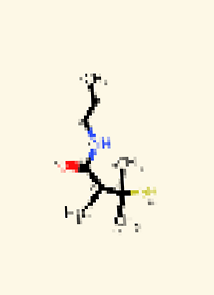 CCCNC(=O)C(C)C(C)(C)S